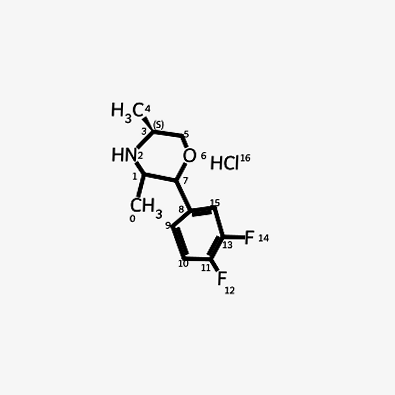 CC1N[C@@H](C)COC1c1ccc(F)c(F)c1.Cl